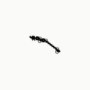 C=CC(=O)OCCCCCCCCCCCOc1ccc(C(=O)Oc2ccc(-c3ccc(CC)cn3)cc2)cc1